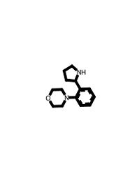 c1ccc(N2CCOCC2)c(C2CCCN2)c1